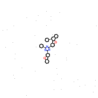 c1ccc(-c2nc(-c3ccc4c(c3)oc3ccccc34)nc(-c3ccc4oc5c6ccccc6cc(-c6ccccc6)c5c4c3)n2)cc1